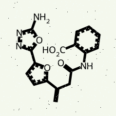 C=C(CC(=O)Nc1ccccc1C(=O)O)c1ccc(-c2nnc(N)o2)o1